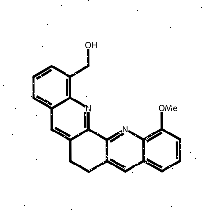 COc1cccc2cc3c(nc12)-c1nc2c(CO)cccc2cc1CC3